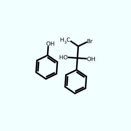 CC(Br)C(O)(O)c1ccccc1.Oc1ccccc1